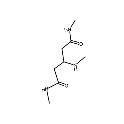 CNC(=O)CC(CC(=O)NC)NC